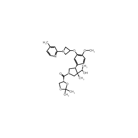 COc1ccc([C@@H]2CN(C(=O)[C@@H]3COC(C)(C)O3)C[C@@]2(C)[C@@H](C)O)cc1OC1CN(c2cc(C)ccn2)C1